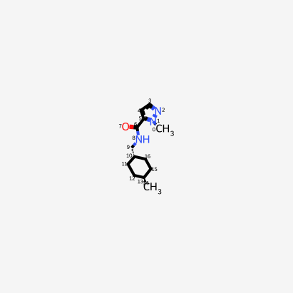 Cn1nccc1C(=O)NC[C@H]1CC[C@H](C)CC1